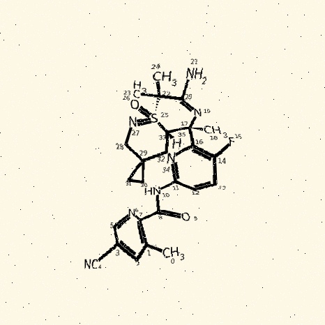 Cc1cc(C#N)cnc1C(=O)Nc1ccc(F)c([C@@]2(C)N=C(N)C(C)(C)[S@@]3(=O)=NCC4(CC4)C[C@@H]23)n1